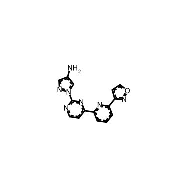 Nc1cnn(-c2nccc(-c3cccc(-c4ccon4)n3)n2)c1